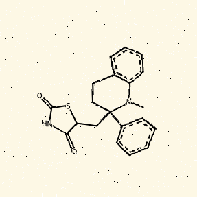 CN1c2ccccc2CCC1(CC1SC(=O)NC1=O)c1ccccc1